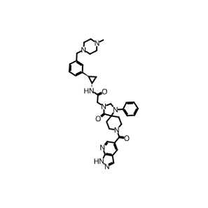 CN1CCN(Cc2cccc([C@H]3C[C@@H]3NC(=O)CN3CN(c4ccccc4)C4(CCN(C(=O)c5cnc6[nH]ncc6c5)CC4)C3=O)c2)CC1